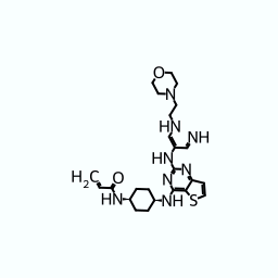 C=CC(=O)N[C@H]1CC[C@@H](Nc2nc(N/C(C=N)=C/NCCN3CCOCC3)nc3ccsc23)CC1